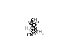 [C-]#[N+]c1cc(C)c(Oc2ccc3c(c2)COB3C)c(C)c1